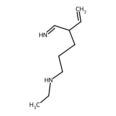 C=CC(C=N)CCCNCC